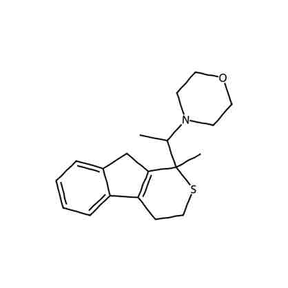 CC(N1CCOCC1)C1(C)SCCC2=C1Cc1ccccc12